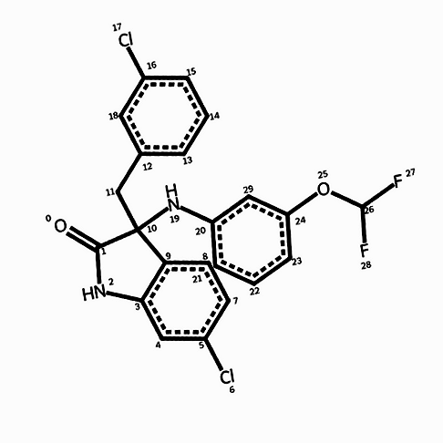 O=C1Nc2cc(Cl)ccc2C1(Cc1cccc(Cl)c1)Nc1cccc(OC(F)F)c1